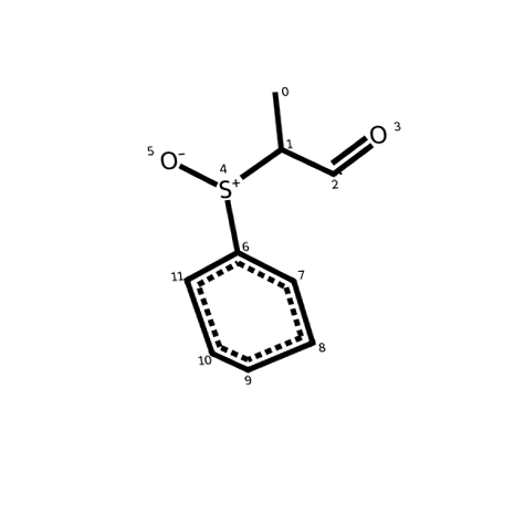 CC([C]=O)[S+]([O-])c1ccccc1